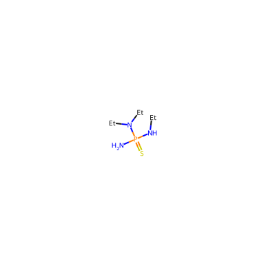 CCNP(N)(=S)N(CC)CC